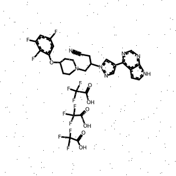 N#CCC(CN1CCC(Oc2cc(F)cc(F)c2F)CC1)n1cc(-c2ncnc3[nH]ccc23)cn1.O=C(O)C(F)(F)F.O=C(O)C(F)(F)F.O=C(O)C(F)(F)F